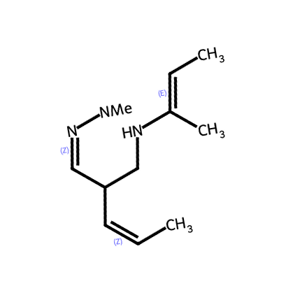 C/C=C\C(/C=N\NC)CN/C(C)=C/C